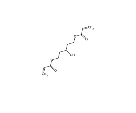 C=CC(=O)OCCC(O)CCOC(=O)C=C